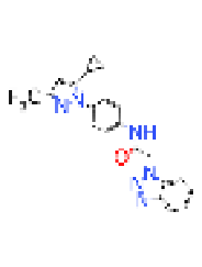 O=C(Cn1nnc2ccccc21)Nc1ccc(-n2nc(C(F)(F)F)cc2C2CC2)cc1